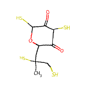 CC(S)(CS)C1OC(S)C(=O)C(S)C1=O